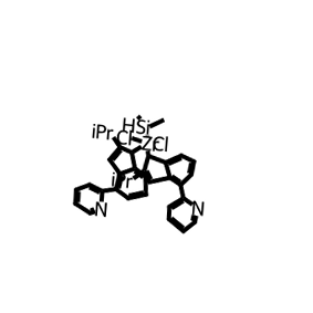 CC(C)C1=Cc2c(-c3ccccn3)cccc2[CH]1[Zr]([Cl])([Cl])([CH]1C(C(C)C)=Cc2c(-c3ccccn3)cccc21)[SiH](C)C